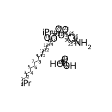 CC(C)CCCCCCCCCCCCCCC(=O)OC(C(=O)OC(=O)c1ccc(N)cc1)C(C)C.[O]=[Ti]([OH])[OH]